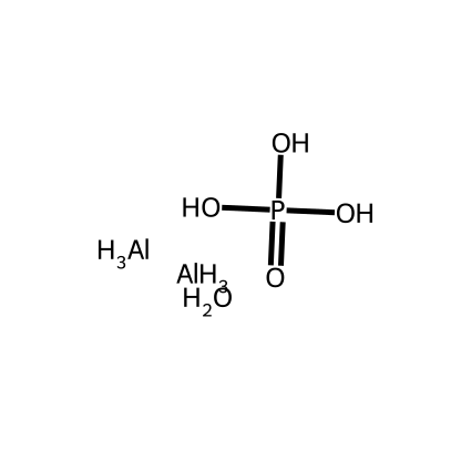 O.O=P(O)(O)O.[AlH3].[AlH3]